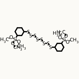 CO[Si](OC)(OC)C1CCCC(SSSSSSSSC2CCCC([Si](OC)(OC)OC)C2)C1